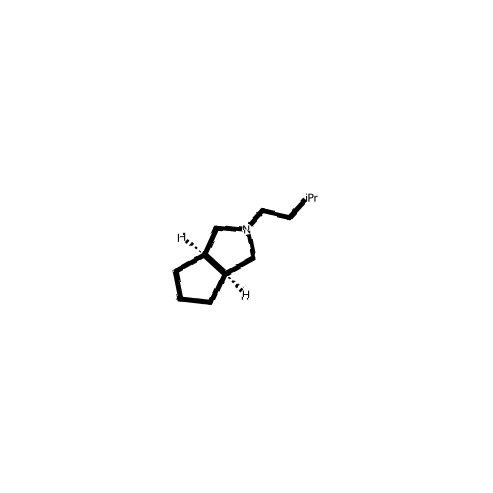 CC(C)CCN1C[C@H]2C[CH]C[C@H]2C1